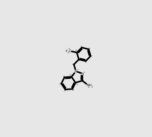 Nc1nn(Cc2ccccc2C(F)(F)F)c2ccccc12